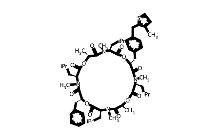 Cc1ccsc1Cc1ccc(C[C@H]2OC(=O)[C@H](CC(C)C)N(C)C(=O)[C@@H](C)OC(=O)[C@H](CC(C)C)N(C)C(=O)[C@@H](Cc3ccccc3)OC(=O)[C@H](CC(C)C)N(C)C(=O)[C@@H](C)OC(=O)[C@H](CC(C)C)N(C)C2=O)cc1